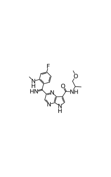 CNc1cc(F)ccc1C(=N)c1cnc2[nH]cc(C(=O)NC(C)COC)c2n1